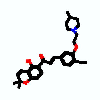 COc1ccc(/C=C/C(=O)c2ccc3c(c2O)C=CC(C)(C)O3)cc1OCCN1CCC(C)CC1